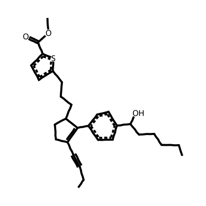 CCC#CC1=C(c2ccc(C(O)CCCCC)cc2)C(CCCc2ccc(C(=O)OC)s2)CC1